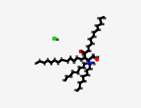 CCCCCCCCCCCCCC(C(=O)CCCCCCCCCCC)C(C=O)[N+](C)(CCCCCCCC)CCCCCCCC.[Cl-]